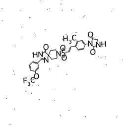 Cc1cc(N2C(=O)CNC2=O)ccc1/C=C/S(=O)(=O)N1CCC2(CC1)N=C(c1cccc(OC(F)(F)F)c1)NC2=O